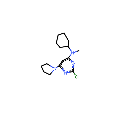 CN(c1cc(N2CCCC2)nc(Cl)n1)C1CCCCC1